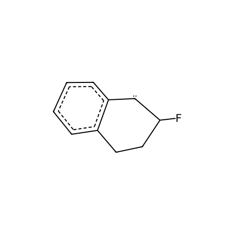 FC1[C]c2ccccc2CC1